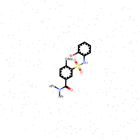 CCCN(CCC)C(=O)c1ccc(OC)c(S(=O)(=O)Nc2ccccc2Br)c1